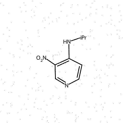 CC(C)Nc1ccncc1[N+](=O)[O-]